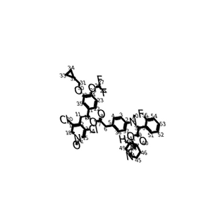 CN(c1ccc(CC(=O)O[C@@H](Cc2c(Cl)c[n+]([O-])cc2Cl)c2ccc(OC(F)F)c(OCC3CC3)c2)cc1)C(C(=O)O[C@H]1CN2CCC1CC2)c1ccccc1F